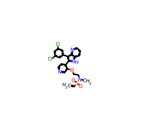 C=CS(=O)(=O)N(C)CCOc1cnccc1-c1[nH]c2cccnc2c1-c1cc(Cl)cc(Cl)c1